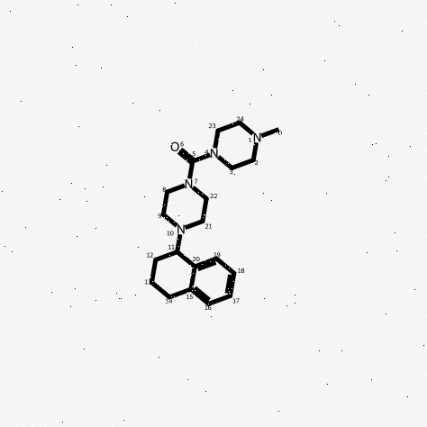 CN1CCN(C(=O)N2CCN(C3CCCc4ccccc43)CC2)CC1